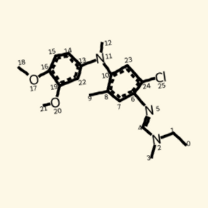 CCN(C)C=Nc1cc(C)c(N(C)c2ccc(OC)c(OC)c2)cc1Cl